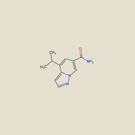 CC(C)c1cc(C(N)=O)cn2nccc12